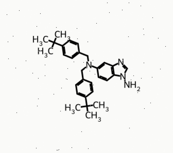 CC(C)(C)c1ccc(CN(Cc2ccc(C(C)(C)C)cc2)c2ccc3c(c2)ncn3N)cc1